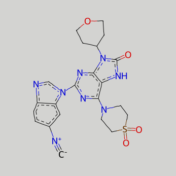 [C-]#[N+]c1ccc2ncn(-c3nc(N4CCS(=O)(=O)CC4)c4[nH]c(=O)n(C5CCOCC5)c4n3)c2c1